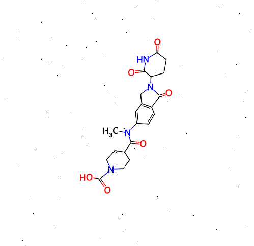 CN(C(=O)C1CCN(C(=O)O)CC1)c1ccc2c(c1)CN(C1CCC(=O)NC1=O)C2=O